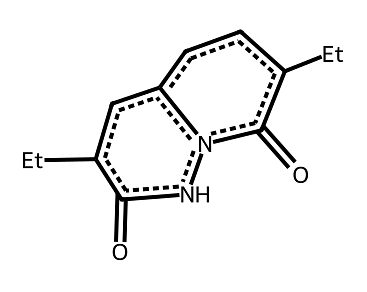 CCc1cc2ccc(CC)c(=O)n2[nH]c1=O